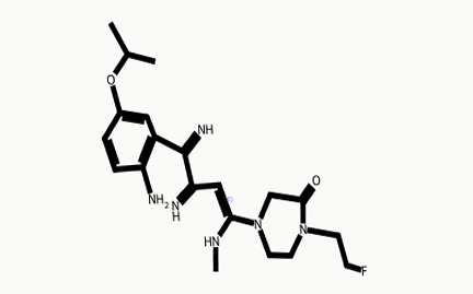 CN/C(=C\C(=N)C(=N)c1cc(OC(C)C)ccc1N)N1CCN(CCF)C(=O)C1